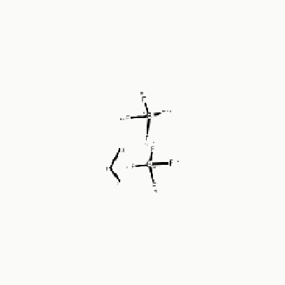 CCC.F[B-](F)(F)F.F[B-](F)(F)F